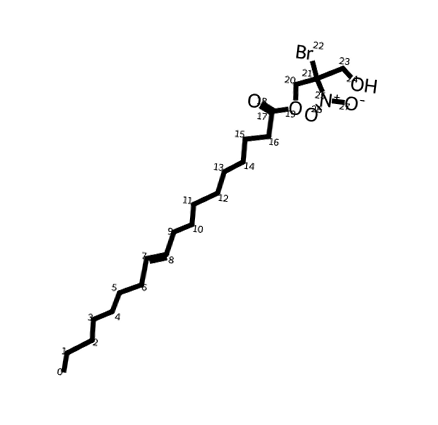 CCCCCCC/C=C/CCCCCCCCC(=O)OCC(Br)(CO)[N+](=O)[O-]